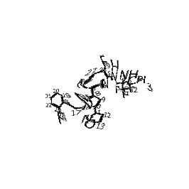 CC(N)(CNc1nc(-c2cc(-c3ccon3)n(Cc3ccccc3F)n2)ncc1F)C(F)(F)F